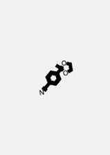 CC1(c2ccc(C#N)cc2)OCCO1